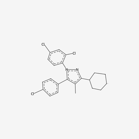 Cc1c(C2CC[CH]CC2)nn(-c2ccc(Cl)cc2Cl)c1-c1ccc(Cl)cc1